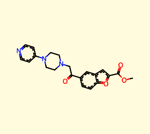 COC(=O)c1cc2cc(C(=O)CN3CCN(c4ccncc4)CC3)ccc2o1